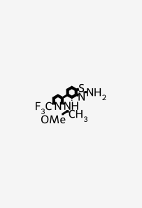 COCC(C)Nc1nc(C(F)(F)F)ccc1-c1[c]c2nc(N)sc2cc1